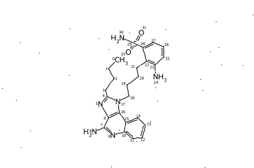 CCCCc1nc2c(N)nc3ccccc3c2n1CCCCc1c(N)cccc1S(N)(=O)=O